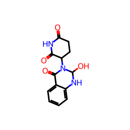 O=C1CCC(N2C(=O)c3ccccc3NC2O)C(=O)N1